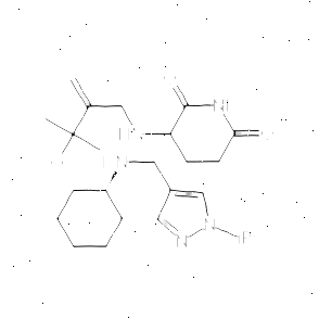 C=C(CNC1CCC(=O)NC1=O)C(C)(C)O[C@H]1CCCC[C@@H]1NCc1cnn(C(C)C)c1